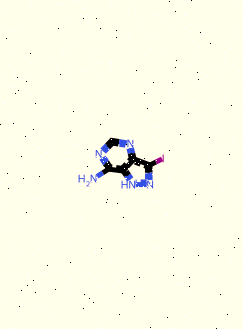 Nc1ncnc2c(I)n[nH]c12